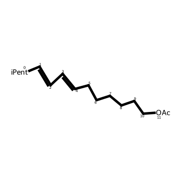 CCCC(C)/C=C/C=C/CCCCCCOC(C)=O